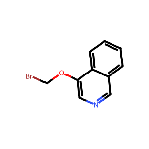 BrCOc1cncc2ccccc12